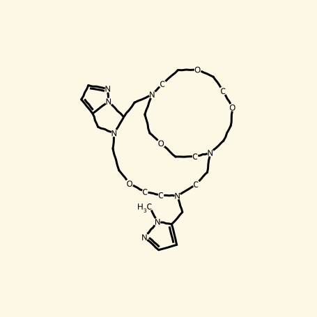 Cn1nccc1CN1CCOCCN2Cc3ccnn3C2CN2CCOCCOCCN(CCOCC2)CC1